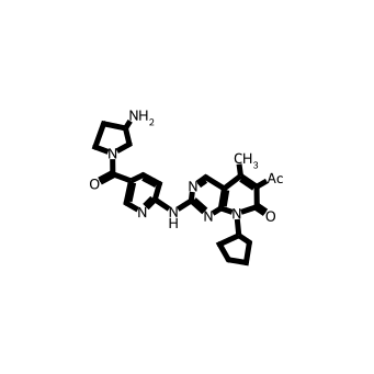 CC(=O)c1c(C)c2cnc(Nc3ccc(C(=O)N4CCC(N)C4)cn3)nc2n(C2CCCC2)c1=O